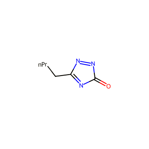 CCCCC1=NC(=O)N=N1